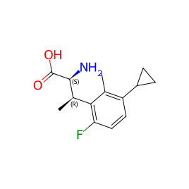 Cc1c(C2CC2)ccc(F)c1[C@@H](C)[C@H](N)C(=O)O